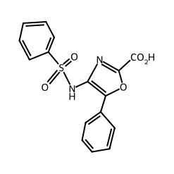 O=C(O)c1nc(NS(=O)(=O)c2ccccc2)c(-c2ccccc2)o1